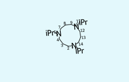 CC(C)N1CCCN(C(C)C)CCCN(C(C)C)CCC1